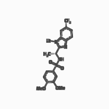 CCn1c([C@@H](C)NS(=O)(=O)c2ccc(OC)c(OC)c2)nc2ccc(C(F)(F)F)cc21